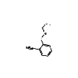 CCNOc1ccccc1C#N